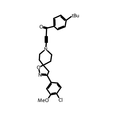 COc1cc(C2=NOC3(CCN(C#CC(=O)c4ccc(C(C)(C)C)cc4)CC3)C2)ccc1Cl